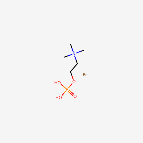 C[N+](C)(C)CCOP(=O)(O)O.[Br-]